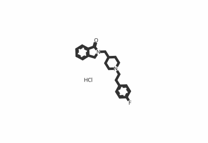 Cl.O=C1c2ccccc2CN1CC1CCN(CCc2ccc(F)cc2)CC1